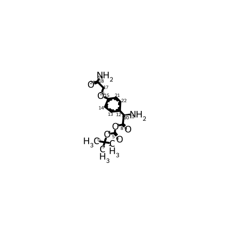 CC(C)(C)OC(=O)OC(=O)[C@H](N)c1ccc(OCC(N)=O)cc1